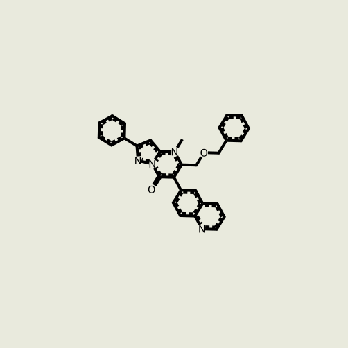 Cn1c(COCc2ccccc2)c(-c2ccc3ncccc3c2)c(=O)n2nc(-c3ccccc3)cc12